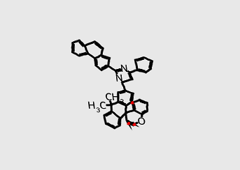 CC1(C)c2ccccc2C2(c3ccccc3Oc3ccccc32)c2ccc(-c3cc(-c4ccccc4)nc(-c4ccc5c(ccc6ccccc65)c4)n3)cc21